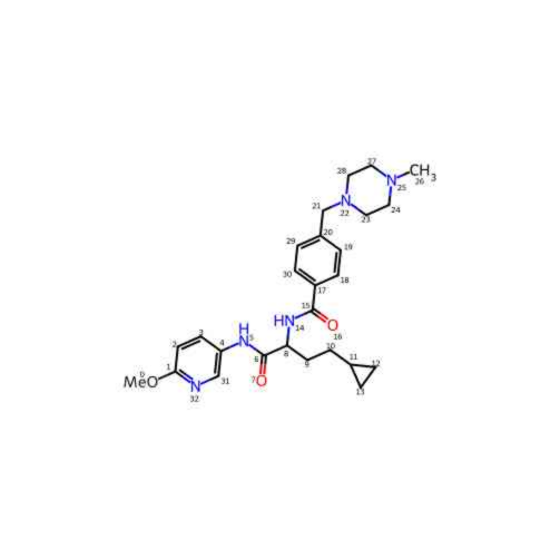 COc1ccc(NC(=O)C(CCC2CC2)NC(=O)c2ccc(CN3CCN(C)CC3)cc2)cn1